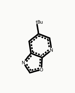 CC(C)(C)c1cnc2ocnc2c1